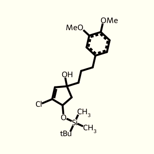 COc1ccc(CCCC2(O)C=C(Cl)C(O[Si](C)(C)C(C)(C)C)C2)cc1OC